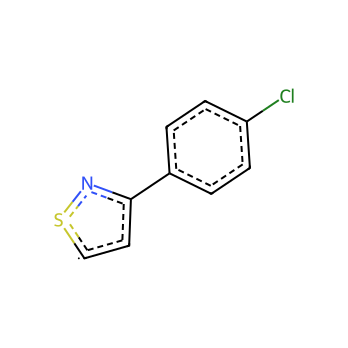 Clc1ccc(-c2c[c]sn2)cc1